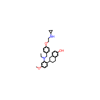 CCN(Cc1ccc(OCCNC2CC2)cc1)c1cc(OC)ccc1C1CCc2cc(O)ccc2C1